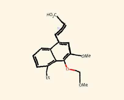 CCc1cccc2c(/C=C/C(=O)O)cc(OC)c(OCOC)c12